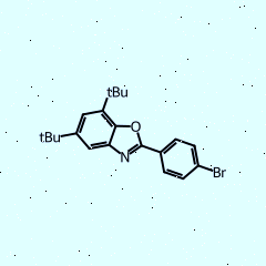 CC(C)(C)c1cc(C(C)(C)C)c2oc(-c3ccc(Br)cc3)nc2c1